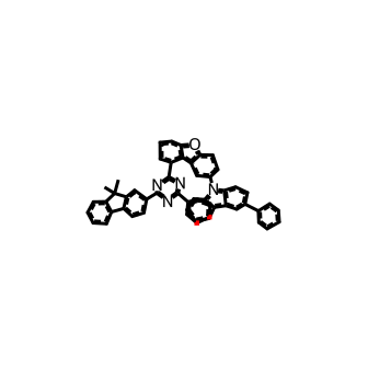 CC1(C)c2ccccc2-c2ccc(-c3nc(-c4ccccc4)nc(-c4cccc5oc6ccc(-n7c8ccccc8c8cc(-c9ccccc9)ccc87)cc6c45)n3)cc21